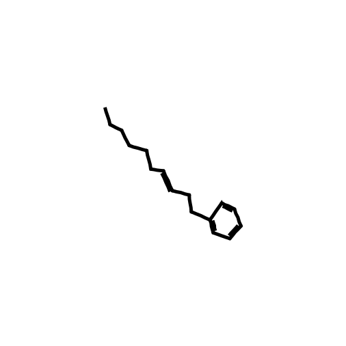 CCCCCCC=CCCc1[c]cccc1